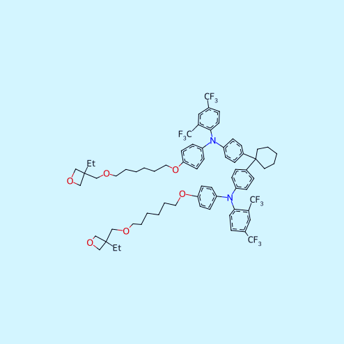 CCC1(COCCCCCCOc2ccc(N(c3ccc(C4(c5ccc(N(c6ccc(OCCCCCCOCC7(CC)COC7)cc6)c6ccc(C(F)(F)F)cc6C(F)(F)F)cc5)CCCCC4)cc3)c3ccc(C(F)(F)F)cc3C(F)(F)F)cc2)COC1